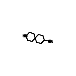 CC(C)(C)C1CCC2(CCNCC2)CC1